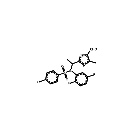 Cc1nc(C(C)N(c2cc(F)ccc2F)S(=O)(=O)c2ccc(Cl)cc2)sc1C=O